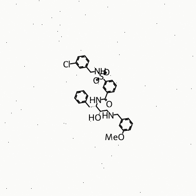 COc1cccc(CNC[C@H](O)[C@H](Cc2ccccc2)NC(=O)c2cccc(S(=O)(=O)NCc3cccc(Cl)c3)c2)c1